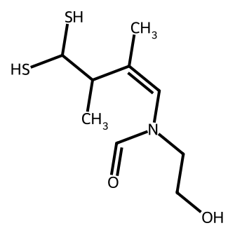 CC(=CN(C=O)CCO)C(C)C(S)S